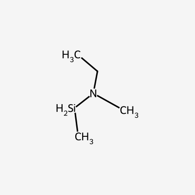 CCN(C)[SiH2]C